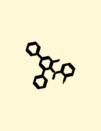 CN(c1ccccc1F)c1c(F)cc(-c2ccccc2)cc1-c1ccccc1